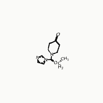 C=C.O=C1CCN(C(=O)n2ccnc2)CC1